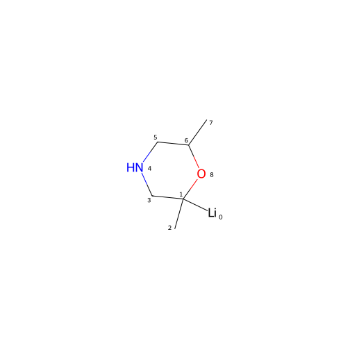 [Li][C]1(C)CNCC(C)O1